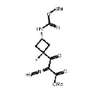 COC(=O)C(=[N+]=N)C(=O)[C@]1(F)C[C@H](NC(=O)OC(C)(C)C)C1